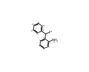 Nc1ccccc1[C](F)c1ccccc1